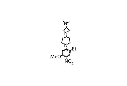 CCc1cc([N+](=O)[O-])c(OC)cc1N1CCC(N2CC(N(C)C)C2)CC1